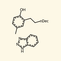 CCCCCCCCCCCCc1cc(C)ccc1O.c1ccc2[nH]nnc2c1